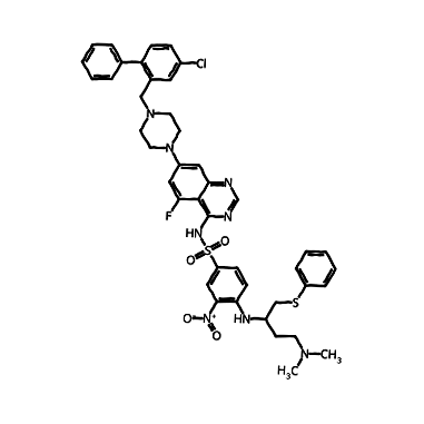 CN(C)CCC(CSc1ccccc1)Nc1ccc(S(=O)(=O)Nc2ncnc3cc(N4CCN(Cc5cc(Cl)ccc5-c5ccccc5)CC4)cc(F)c23)cc1[N+](=O)[O-]